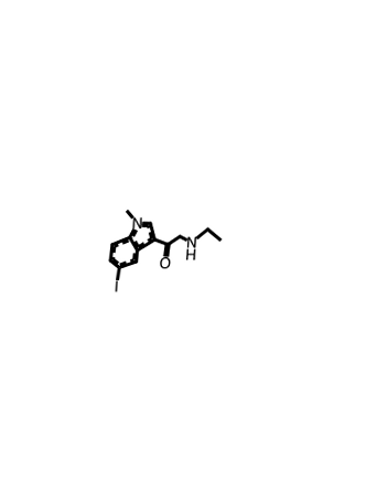 CCNCC(=O)c1cn(C)c2ccc(I)cc12